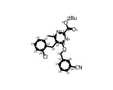 Cc1nc(C(=O)OC(C)(C)C)nc(OCc2cccc(C#N)c2)c1Cc1ccccc1Cl